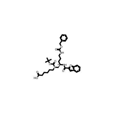 CC(C)(C)OC(=O)N(CCCCCC(=O)O)C[C@@H](CCCNC(=O)OCc1ccccc1)NC(=O)c1cc2ccccc2o1